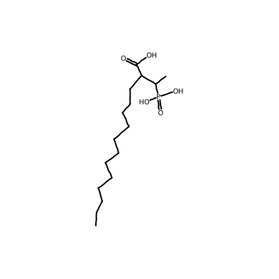 CCCCCCCCCCCCC(C(=O)O)C(C)P(=O)(O)O